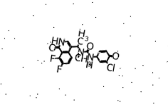 CC(c1c[nH]c(=O)c2c(F)c(F)ccc12)N(C)C(=O)NC1C=CC(=O)C(Cl)=C1